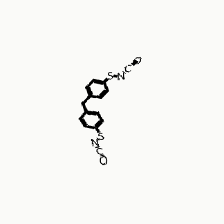 O=C=NSc1ccc(Cc2ccc(SN=C=O)cc2)cc1